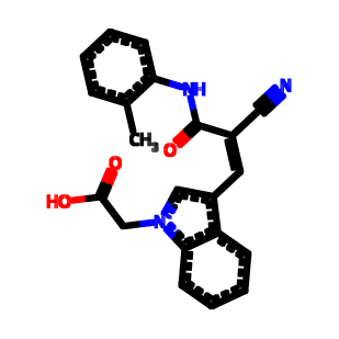 Cc1ccccc1NC(=O)C(C#N)=Cc1cn(CC(=O)O)c2ccccc12